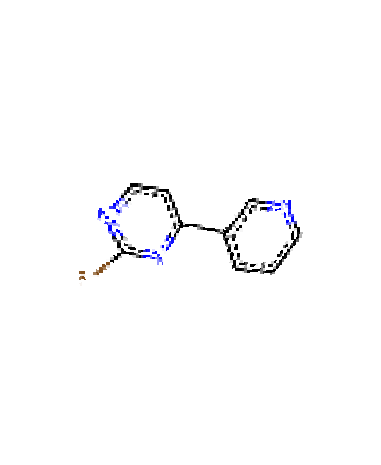 Brc1nccc(-c2cccnc2)n1